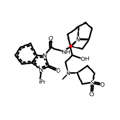 CC(C)n1c(=O)n(C(=O)NC2CC3CCC(C2)N3CC(O)CN(C)C2CCS(=O)(=O)C2)c2ccccc21